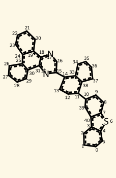 c1ccc2c(c1)sc1ccc(-c3ccc(-c4cnc5c6ccccc6c6ccccc6c5n4)c4ccccc34)cc12